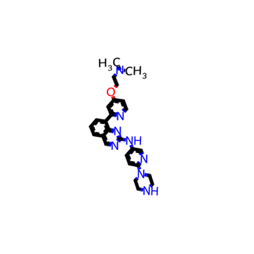 CN(C)CCOc1ccnc(-c2cccc3cnc(Nc4ccc(N5CCNCC5)nc4)nc23)c1